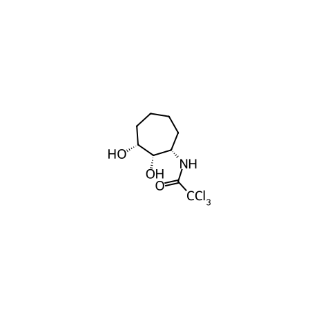 O=C(N[C@H]1CCCC[C@@H](O)[C@H]1O)C(Cl)(Cl)Cl